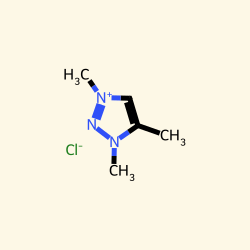 Cc1c[n+](C)nn1C.[Cl-]